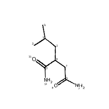 CC(C)CC(CC(N)=O)C(N)=O